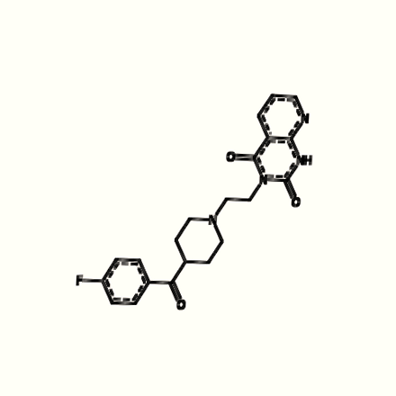 O=C(c1ccc(F)cc1)C1CCN(CCn2c(=O)[nH]c3ncccc3c2=O)CC1